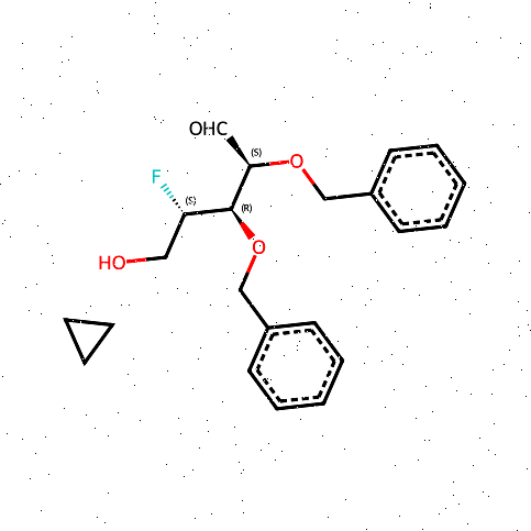 C1CC1.O=C[C@@H](OCc1ccccc1)[C@@H](OCc1ccccc1)[C@@H](F)CO